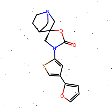 O=C1O[C@]2(CN3CCC2CC3)CN1c1cc(-c2ccco2)cs1